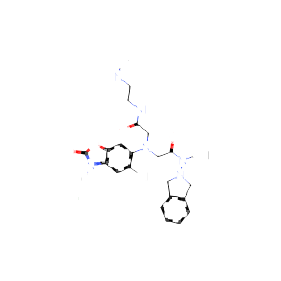 Cc1cc2c(cc1N(CC(=O)NCCNC(C)C)CC(=O)N(C)N1Cc3ccccc3C1)oc(=O)n2C.Cl